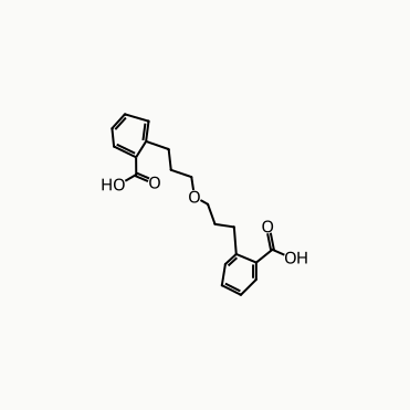 O=C(O)c1ccccc1CCCOCCCc1ccccc1C(=O)O